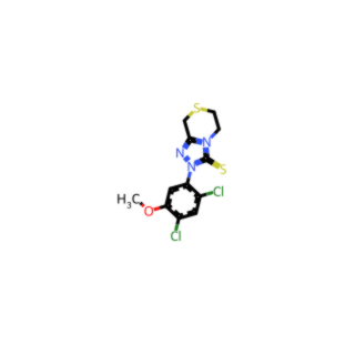 COc1cc(-n2nc3n(c2=S)CCSC3)c(Cl)cc1Cl